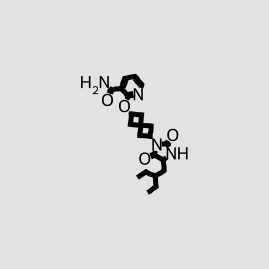 CCC(CC)CC1NC(=O)N([C@H]2CC3(C[C@H](Oc4ncccc4C(N)=O)C3)C2)C1=O